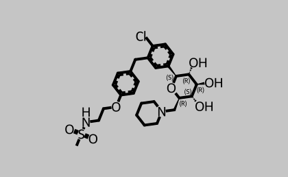 CS(=O)(=O)NCCOc1ccc(Cc2cc([C@@H]3O[C@H](CN4CCCCC4)[C@@H](O)[C@H](O)[C@H]3O)ccc2Cl)cc1